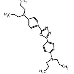 CCCN(CCC)c1ccc(-c2nnc(-c3ccc(N(CCC)CCC)cc3)o2)cc1